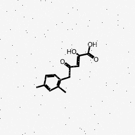 Cc1ccc(CC(=O)/C=C(\O)C(=O)O)c(C)c1